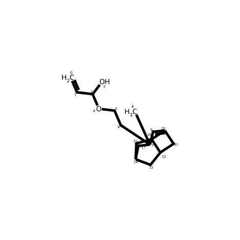 C=CC(O)OCCC1(C)C=C2CC3CC(CC23)C1